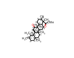 COC(=O)C1(C)C2CC[C@]3(C)[C@H](C(=O)C=C4[C@@H]5[C@@H](C)[C@H](C)CC[C@]5(C)CC[C@]43C)[C@@]2(C)CC[C@H]1C#N